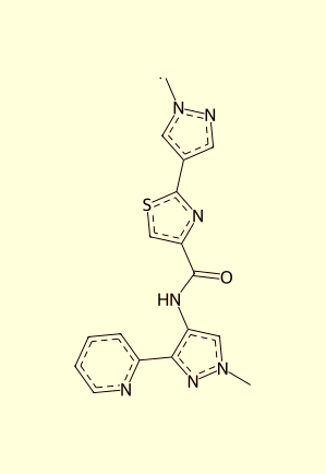 [CH2]n1cc(-c2nc(C(=O)Nc3cn(C)nc3-c3ccccn3)cs2)cn1